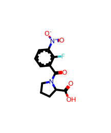 O=C(O)C1CCCN1C(=O)c1cccc([N+](=O)[O-])c1F